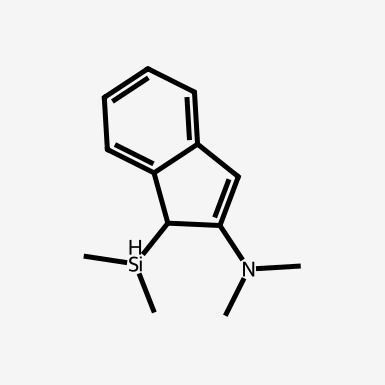 CN(C)C1=Cc2ccccc2C1[SiH](C)C